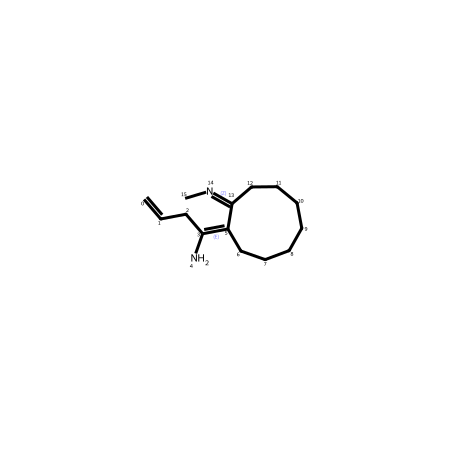 C=CC/C(N)=C1/CCCCCCC/C1=N/C